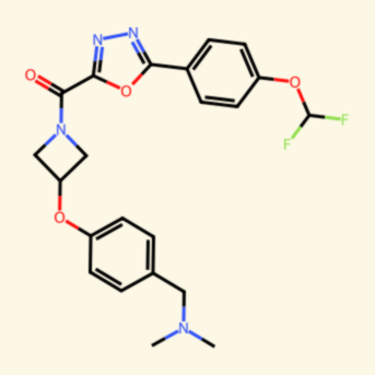 CN(C)Cc1ccc(OC2CN(C(=O)c3nnc(-c4ccc(OC(F)F)cc4)o3)C2)cc1